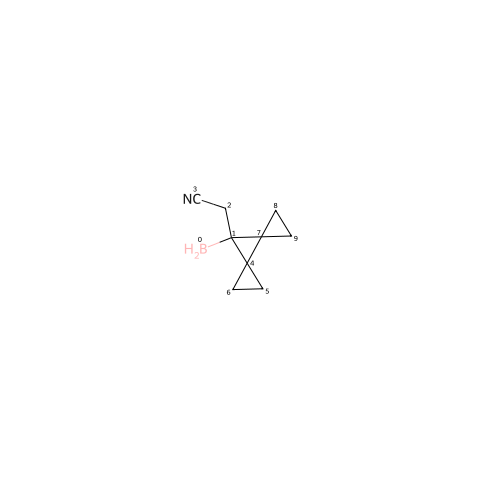 BC1(CC#N)C2(CC2)C12CC2